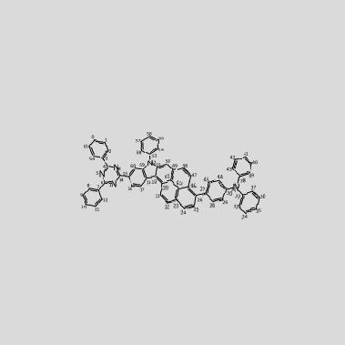 c1ccc(-c2nc(-c3ccccc3)nc(-c3ccc4c5c6ccc7ccc(-c8ccc(N(c9ccccc9)c9ccccc9)cc8)c8ccc(cc5n(-c5ccccc5)c4c3)c6c78)n2)cc1